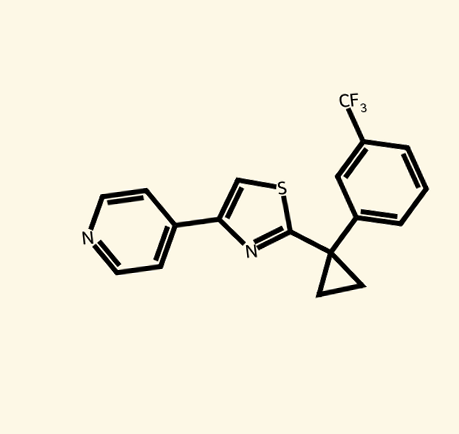 FC(F)(F)c1cccc(C2(c3nc(-c4ccncc4)cs3)CC2)c1